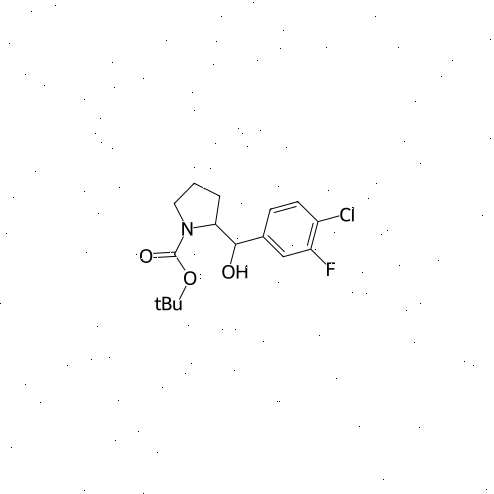 CC(C)(C)OC(=O)N1CCCC1C(O)c1ccc(Cl)c(F)c1